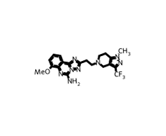 COc1cccc2c1nc(N)n1nc(CCN3CCc4c(c(C(F)(F)F)nn4C)C3)nc21